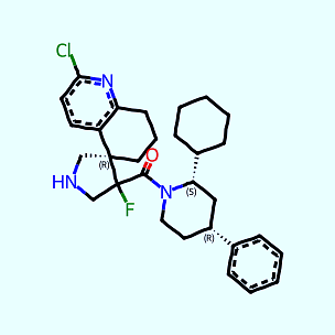 O=C(N1CC[C@@H](c2ccccc2)C[C@H]1C1CCCCC1)C1(F)CNC[C@]12CCCc1nc(Cl)ccc12